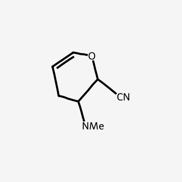 CNC1CC=COC1C#N